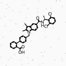 Cc1c(C)n(Cc2ccc(-c3ccccc3C(=O)O)cc2)c2ccc(C(=O)N[C@@H](C)c3c(Cl)cccc3Cl)cc12